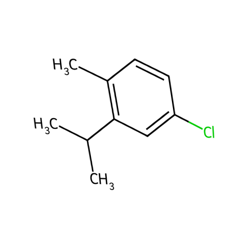 Cc1ccc(Cl)cc1C(C)C